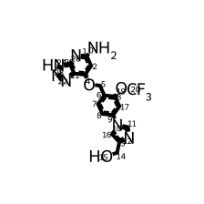 Nc1cc(OCc2ccc(-n3cnc(CO)c3)cc2OC(F)(F)F)c2nn[nH]c2n1